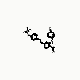 CS(=O)(=O)Nc1ccc(CCc2ccc(C(=O)O)c(Nc3ccc(F)cc3)c2)cc1